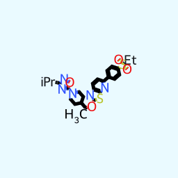 CCS(=O)(=O)c1ccc(-c2ccc3nc(OC(C)C4CCN(c5nc(C(C)C)no5)CC4)sc3n2)cc1